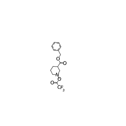 O=C(OCc1ccccc1)C1CCCN(OC(=O)C(F)(F)F)C1